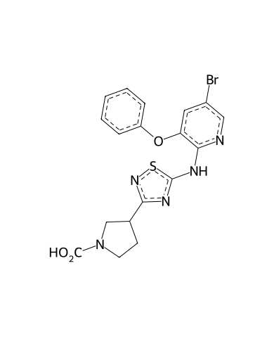 O=C(O)N1CCC(c2nsc(Nc3ncc(Br)cc3Oc3ccccc3)n2)C1